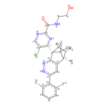 CC1(C)[C@H]2CC[C@]1(c1nc(C(=O)NCCO)ncc1Br)c1nnc(-c3c(F)cccc3F)cc12